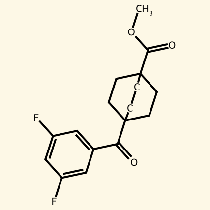 COC(=O)C12CCC(C(=O)c3cc(F)cc(F)c3)(CC1)CC2